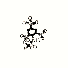 O=[N+]([O-])c1cc(S(=O)(=O)Cl)cc([N+](=O)[O-])c1NS(=O)(=O)C(F)(F)F